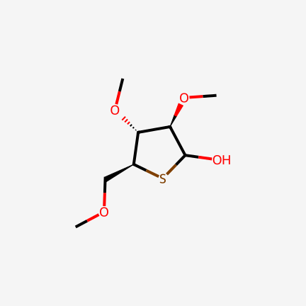 COC[C@@H]1SC(O)[C@H](OC)[C@H]1OC